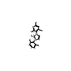 Cc1cc(C)c(N2C=CN(c3c(C)cccc3C)[C@H]2C)c(C)n1